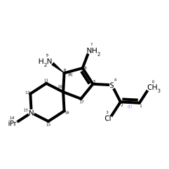 C/C=C(/Cl)SC1=C(N)[C@H](N)C2(CCN(C(C)C)CC2)C1